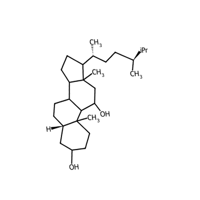 CC(C)[C@@H](C)CC[C@@H](C)C1CCC2C3CC[C@H]4CC(O)CCC4(C)C3C(O)CC21C